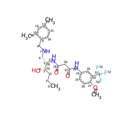 CCC[C@H](O)[C@H](CNCc1ccc(C)cc1C)NC(=O)CC(=O)Nc1ccc(OC)c(C(F)(F)F)c1